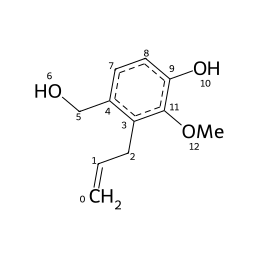 C=CCc1c(CO)ccc(O)c1OC